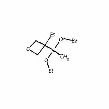 CCO[Si](C)(OCC)C1(CC)COC1